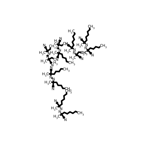 CCC(C)(C#N)N=NC(C)(C#N)CC.CCCCCC(C)(C#N)N=NC(C)(C#N)CC.CCCCCC(C)(C#N)N=NC(C)(C#N)CCCCC.CCCCCCC(C)(C#N)N=NC(C)(C#N)CC.CCCCCCC(C)(C#N)N=NC(C)(C#N)CCCCC.CCCCCCC(C)(C#N)N=NC(C)(C#N)CCCCCC